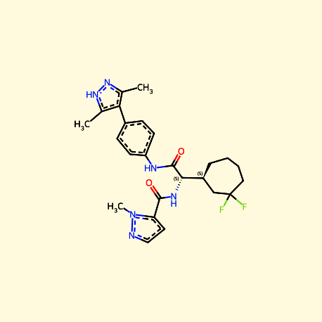 Cc1n[nH]c(C)c1-c1ccc(NC(=O)[C@@H](NC(=O)c2ccnn2C)[C@H]2CCCCC(F)(F)C2)cc1